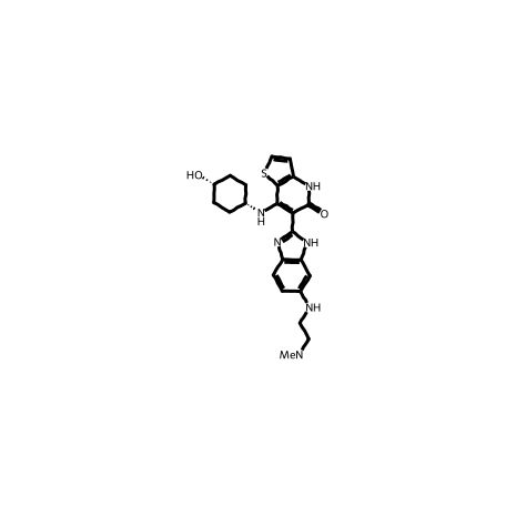 CNCCNc1ccc2nc(-c3c(N[C@H]4CC[C@@H](O)CC4)c4sccc4[nH]c3=O)[nH]c2c1